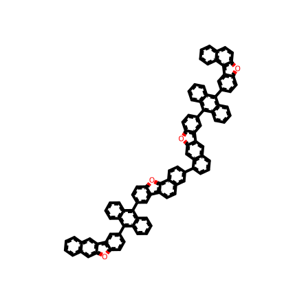 c1ccc2cc3c(cc2c1)oc1ccc(-c2c4ccccc4c(-c4ccc5oc6c7ccc(-c8cccc9cc%10c(cc89)oc8ccc(-c9c%11ccccc%11c(-c%11ccc%12oc%13ccc%14ccccc%14c%13c%12c%11)c%11ccccc9%11)cc8%10)cc7ccc6c5c4)c4ccccc24)cc13